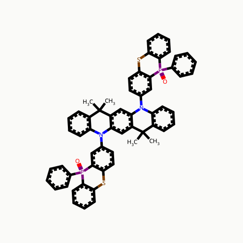 CC1(C)c2ccccc2N(c2ccc3c(c2)P(=O)(c2ccccc2)c2ccccc2S3)c2cc3c(cc21)N(c1ccc2c(c1)P(=O)(c1ccccc1)c1ccccc1S2)c1ccccc1C3(C)C